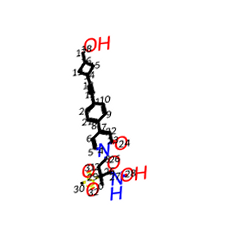 CC(CCn1ccc(-c2ccc(C#CC3CC(CO)C3)cc2)cc1=O)(C(=O)NO)S(C)(=O)=O